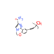 CC(C)(O)C#Cc1ccc2c(c1)-c1nc(C(N)=O)cn1CCO2